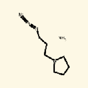 N.[N-]=[N+]=NCCCN1CCCC1